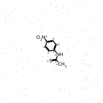 CC(=S)Nc1ccc([N+](=O)[O-])cc1